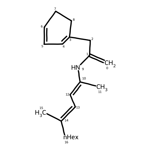 C=C(CC1=CC=CCC1)N/C(C)=C/C=C(\C)CCCCCC